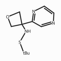 CC(C)(C)SNC1(c2cnccn2)COC1